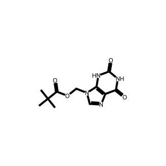 CC(C)(C)C(=O)OCn1cnc2c(=O)[nH]c(=O)[nH]c21